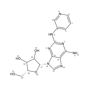 Nc1nc(Nc2cccnc2)nc2c1ncn2[C@@H]1O[C@H](CO)C(O)C1O